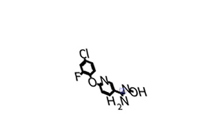 N/C(=N\O)c1ccc(Oc2ccc(Cl)cc2F)nc1